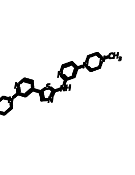 CN1CCN(c2ccnc(Nc3ncc(-c4ccnc(N5CCOCC5)c4)s3)c2)CC1